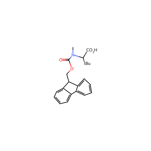 CN(C(=O)OCC1c2ccccc2-c2ccccc21)C(C(=O)O)C(C)(C)C